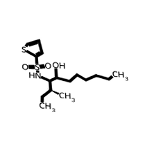 CCCCCCC(O)C(NS(=O)(=O)c1cccs1)[C@@H](C)CC